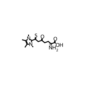 CC1=C(C)N(C)C(C(=S)CC(=O)CC[C@H](N)C(=O)O)N1C